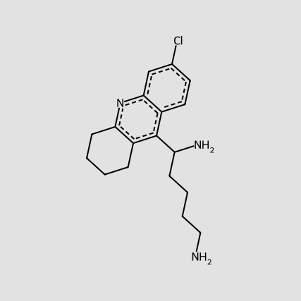 NCCCCC(N)c1c2c(nc3cc(Cl)ccc13)CCCC2